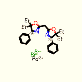 CCC1(CC)OC(CC2=N[C@H](c3ccccc3)C(CC)(CC)O2)=N[C@@H]1c1ccccc1.[Br-].[Br-].[Pd+2]